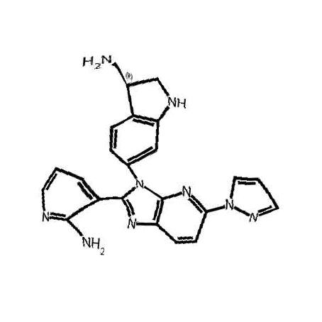 Nc1ncccc1-c1nc2ccc(-n3cccn3)nc2n1-c1ccc2c(c1)NC[C@@H]2N